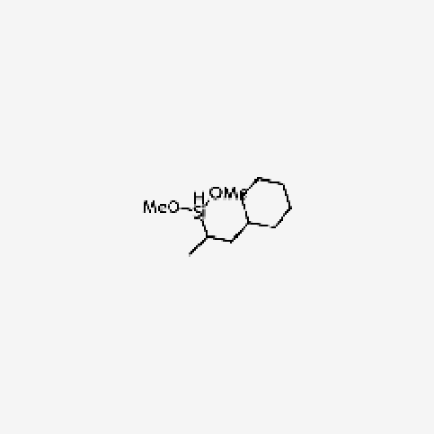 CO[SiH](OC)C(C)CC1CCCCC1